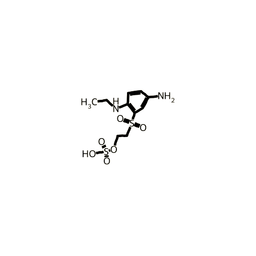 CCNc1ccc(N)cc1S(=O)(=O)CCOS(=O)(=O)O